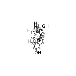 C[C@]12C=CC(O)CC1C=C[C@H]1[C@@H]3CC(O)C(N)[C@@]3(C)CC[C@]12F